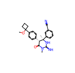 COC1(c2ccc([C@H]3C(=O)N(C)C(=N)N[C@]3(C)c3cccc(C#N)c3)cc2)CCC1